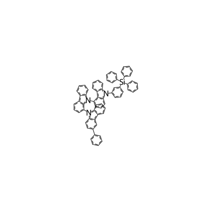 c1ccc(-c2ccc3c(c2)c2ccccc2n3-c2cccc3c4ccccc4n(-c4cccc5c4c4ccccc4n5-c4cccc([Si](c5ccccc5)(c5ccccc5)c5ccccc5)c4)c23)cc1